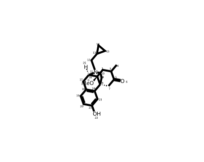 CO[C@@]12CC(C)C(=O)C[C@@]13CCN(CC1CC1)[C@@H]2Cc1ccc(O)cc13